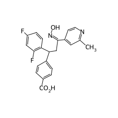 Cc1cc(/C(CC(c2ccc(C(=O)O)cc2)c2ccc(F)cc2F)=N\O)ccn1